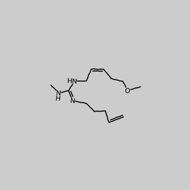 C=CCCC/N=C(/NC)NC/C=C\CCOC